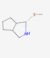 CS[C@@H]1NCC2CCCC21